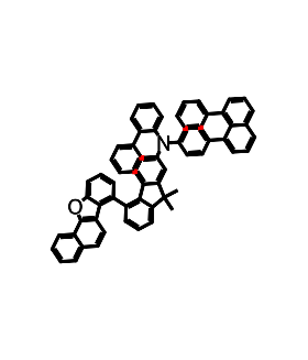 CC1(C)c2cc(N(c3ccc(-c4cccc5cccc(-c6ccccc6)c45)cc3)c3ccccc3-c3ccccc3)ccc2-c2c(-c3cccc4oc5c6ccccc6ccc5c34)cccc21